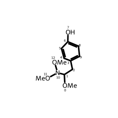 COC(Cc1ccc(O)cc1)N(OC)OC